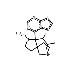 O=C(O)N1CCC2(CCNC2)C1(c1ncnc2scnc12)C(F)C(F)F